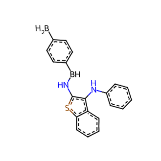 Bc1ccc(BNc2sc3ccccc3c2Nc2ccccc2)cc1